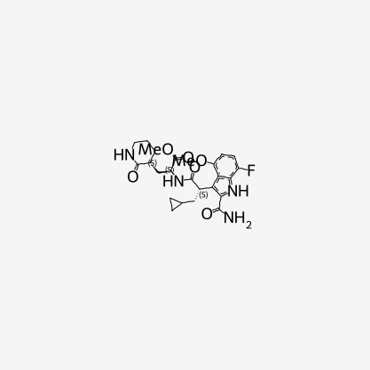 COC(=O)[C@H](C[C@@H]1CCCNC1=O)NC(=O)[C@@H](CC1CC1)c1c(C(N)=O)[nH]c2c(F)ccc(OC)c12